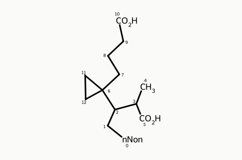 CCCCCCCCCCC(C(C)C(=O)O)C1(CCCC(=O)O)CC1